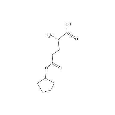 N[C@@H](CCC(=O)OC1CCCC1)C(=O)O